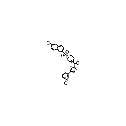 O=C(c1ncc(-c2ccc[n+]([O-])c2)s1)N1CCN(S(=O)(=O)c2ccc3cc(Cl)ccc3c2)CC1